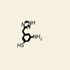 Nc1cc(S)cc(Cc2nc[nH]n2)c1